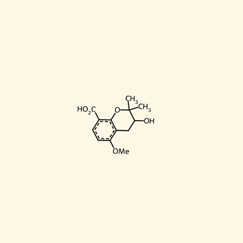 COc1ccc(C(=O)O)c2c1CC(O)C(C)(C)O2